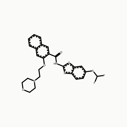 O=C(Nc1nc2ccc(SC(F)F)cc2s1)c1cc2ccccc2cc1OCCN1CCOCC1